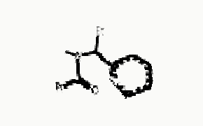 CCC(c1ccccn1)N(C)C(=O)C(C)C